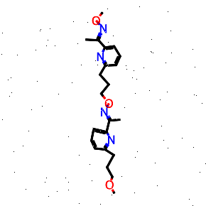 COCCCc1cccc(/C(C)=N/OCCCc2cccc(/C(C)=N/OC)n2)n1